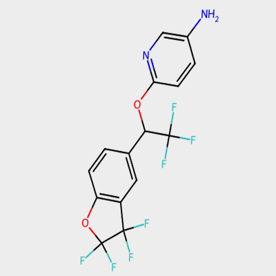 Nc1ccc(OC(c2ccc3c(c2)C(F)(F)C(F)(F)O3)C(F)(F)F)nc1